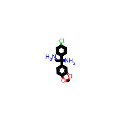 NCC(N)(c1ccc(Cl)cc1)c1ccc2c(c1)OCO2